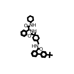 CC1(C(=O)N[C@H](C(=O)NC2CCCCC2)c2ccccc2)CC=C(CNC(=O)c2ccccc2-c2ccc(C(C)(C)C)cc2)CC1